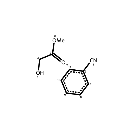 COC(=O)CO.N#Cc1ccccc1